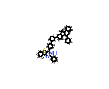 CC1(C)c2cc(-c3cccc(-c4ccc(C5=c6sc7ccccc7c6=NC(c6ccccc6)N5)cc4)c3)ccc2-c2c(-c3ccccc3)cc3ccccc3c21